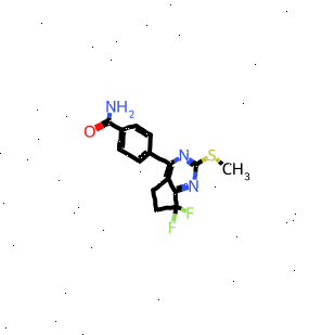 CSc1nc(-c2ccc(C(N)=O)cc2)c2c(n1)C(F)(F)CC2